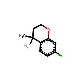 CC1(C)CCOc2cc(F)ccc21